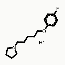 Fc1ccc(OCCCCCN2CCCC2)cc1.[H+]